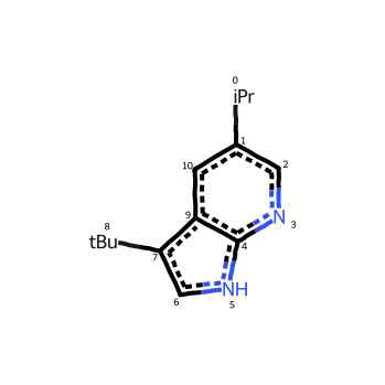 CC(C)c1cnc2[nH]cc(C(C)(C)C)c2c1